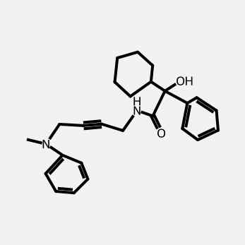 CN(CC#CCNC(=O)C(O)(c1ccccc1)C1CCCCC1)c1ccccc1